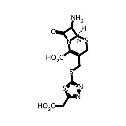 NC1C(=O)N2C(C(=O)O)=C(CSc3nnc(CC(=O)O)s3)CS[C@H]12